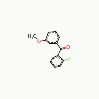 COc1cccc(C(=O)c2ccccc2F)c1